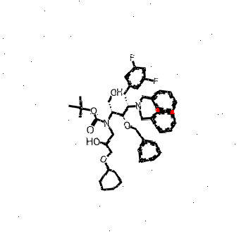 CC(C)(C)OC(=O)N(CC(O)COC1CCCCC1)[C@H](CO)[C@@H](OCc1ccccc1)[C@H](Cc1cc(F)cc(F)c1)N(Cc1ccccc1)Cc1ccccc1